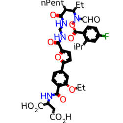 CCCCCC(C(=O)NCNC(=O)c1ccc(-c2ccc(C(=O)NC(CC(=O)O)C(=O)O)c(OCC)c2)o1)C(CC)N(C=O)OC(=O)c1ccc(F)cc1C(C)C